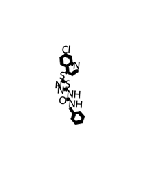 O=C(NCc1ccccc1)Nc1nnc(Sc2ccnc3cc(Cl)ccc23)s1